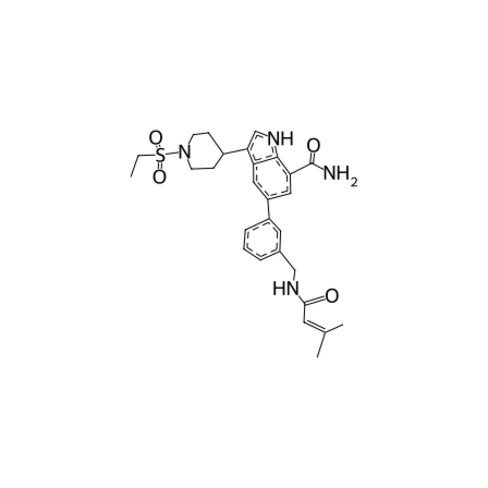 CCS(=O)(=O)N1CCC(c2c[nH]c3c(C(N)=O)cc(-c4cccc(CNC(=O)C=C(C)C)c4)cc23)CC1